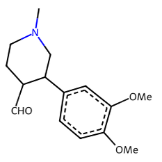 COc1ccc(C2CN(C)CCC2C=O)cc1OC